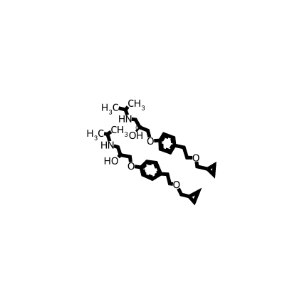 CC(C)NCC(O)COc1ccc(CCOCC2CC2)cc1.CC(C)NC[C@H](O)COc1ccc(CCOCC2CC2)cc1